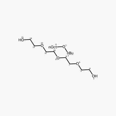 CCCCCCCCOCCCC.OCCOCCOCCOCCO